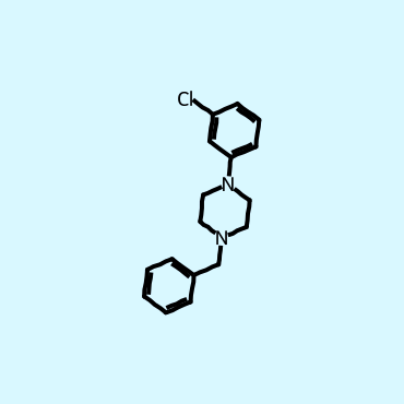 Clc1cccc(N2CCN(Cc3ccccc3)CC2)c1